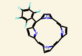 Fc1c(F)c(F)c(-c2c3nc(cc4ccc(cc5nc(cc6ccc2[nH]6)C=C5)[nH]4)C=C3)c(F)c1F